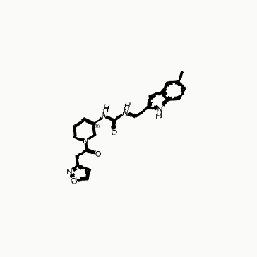 Cc1ccc2[nH]c(CNC(=O)N[C@@H]3CCCN(C(=O)Cc4ccon4)C3)cc2c1